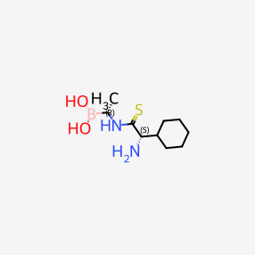 C[C@H](NC(=S)[C@@H](N)C1CCCCC1)B(O)O